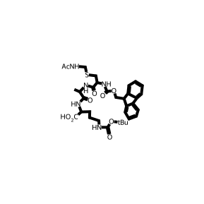 CC(=O)NCSCC(NC(=O)OCC1c2ccccc2-c2ccccc21)C(=O)NC(C)C(=O)NC(CCCNC(=O)OC(C)(C)C)C(=O)O